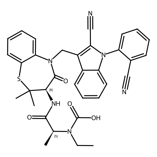 CCN(C(=O)O)[C@@H](C)C(=O)N[C@@H]1C(=O)N(Cc2c(C#N)n(-c3ccccc3C#N)c3ccccc23)c2ccccc2SC1(C)C